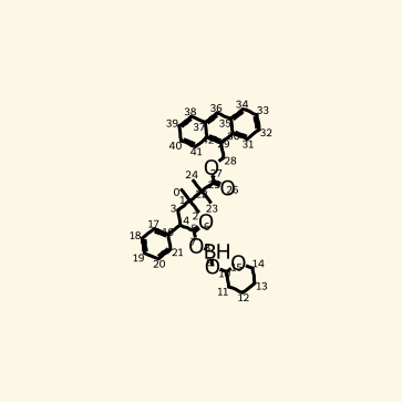 CC(C)(CC(C(=O)OBOC1CCCCO1)c1ccccc1)C(C)(C)C(=O)OCc1c2ccccc2cc2ccccc12